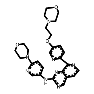 c1cc2cnc(Nc3ccc(N4CCOCC4)nc3)nc2c(-c2ccc(OCCN3CCOCC3)cn2)n1